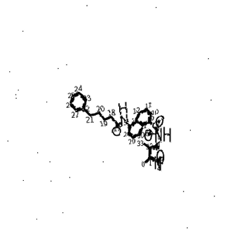 Cc1noc(NS(=O)(=O)c2cccc3c(NC(=O)CCCCc4ccccc4)cccc23)c1C